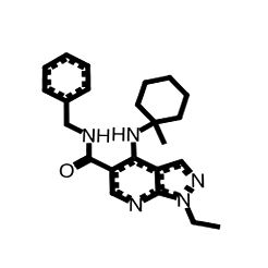 CCn1ncc2c(NC3(C)CCCCC3)c(C(=O)NCc3ccccc3)cnc21